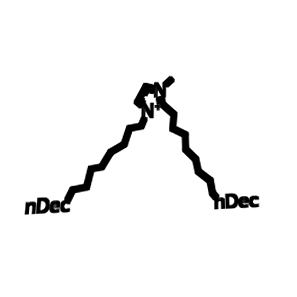 CCCCCCCCCCCCCCCCCCc1n(C)cc[n+]1CCCCCCCCCCCCCCCCCC